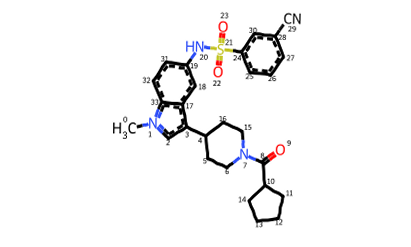 Cn1cc(C2CCN(C(=O)C3CCCC3)CC2)c2cc(NS(=O)(=O)c3cccc(C#N)c3)ccc21